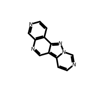 c1cc2c(cn1)ncc1c2nn2cnccc12